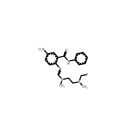 CN(/C=N/c1ccc([N+](=O)[O-])cc1C(=O)Nc1ccccc1)CCN(C)CF